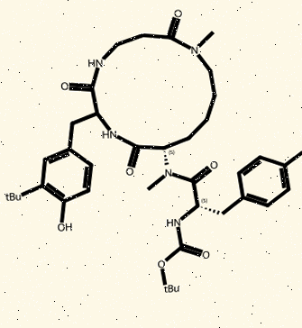 CN1CCCC[C@H](N(C)C(=O)[C@H](Cc2ccc(F)cc2)NC(=O)OC(C)(C)C)C(=O)NC(Cc2ccc(O)c(C(C)(C)C)c2)C(=O)NCCC1=O